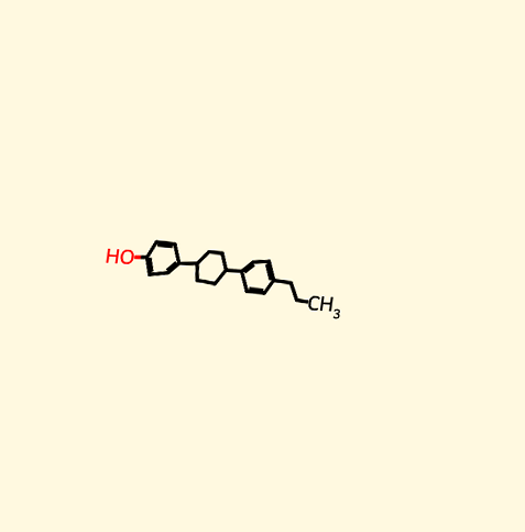 CCCc1ccc(C2CCC(c3ccc(O)cc3)CC2)cc1